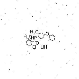 Cc1cc(Oc2ccccc2)ccc1PC(=O)c1c(C)cccc1Cl.[LiH]